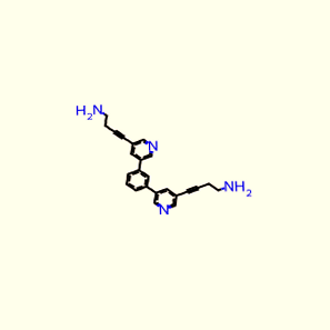 NCCC#Cc1cncc(-c2cccc(-c3cncc(C#CCCN)c3)c2)c1